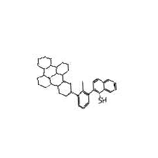 Cc1c(-c2ccc3ccccc3c2S)cccc1C1CCC2C(C1)C1CCCC3C4CCCCC4C4CCCC2C4C31